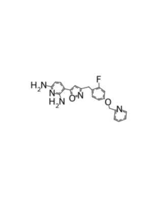 Nc1ccc(-c2cc(Cc3ccc(OCc4ccccn4)cc3F)no2)c(N)n1